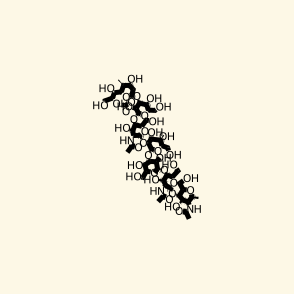 CC(=O)NC1[C@H](O[C@@H]2C(CO)O[C@@H](C)C(NC(C)=O)[C@H]2O)OC(CO)[C@@H](O[C@@H]2OC(CO)[C@@H](O)[C@H](O[C@H]3OC(CO)[C@@H](O)C(O)C3O[C@@H]3OC(CO)[C@H](O[C@@H]4OC(CO)[C@H](O)[C@H](O[C@]5(OC=O)C[C@@H](O)[C@@H](C)C(C(O)C(O)CO)O5)C4O)[C@H](O)C3NC(C)=O)C2O)[C@@H]1O